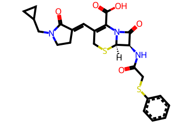 O=C(CSc1ccccc1)N[C@@H]1C(=O)N2C(C(=O)O)=C(/C=C3\CCN(CC4CC4)C3=O)CS[C@H]12